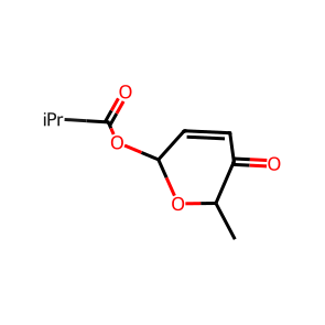 CC(C)C(=O)OC1C=CC(=O)C(C)O1